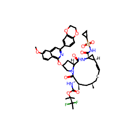 COc1ccc2c(O[C@@H]3C[C@H]4C(=O)N[C@]5(C(=O)NS(=O)(=O)C6CC6)C[C@H]5/C=C\CC[C@@H](C)C[C@@H](C)[C@H](NC(=O)OC(C)(C)C(C)(F)F)C(=O)N4C3)nc(-c3ccc4c(c3)OCCO4)cc2c1